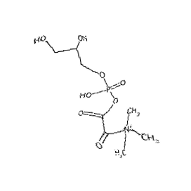 C[N+](C)(C)C(=O)C(=O)OP(=O)(O)OCC(O)CO